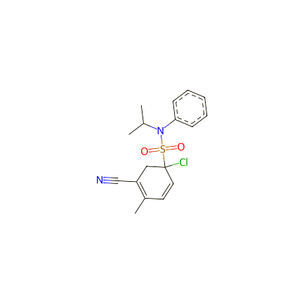 CC1=C(C#N)CC(Cl)(S(=O)(=O)N(c2ccccc2)C(C)C)C=C1